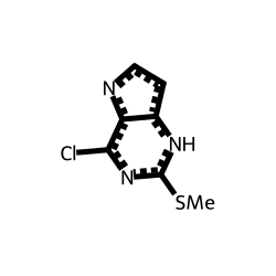 CSc1nc(Cl)c2nccc-2[nH]1